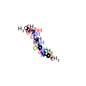 COc1ccc(-c2cnc(C(=O)Nc3ccc(C(=O)N[C@H]4[C@@H]5CN(C(=O)N[C@@H]6CN(C(=O)OC(C)(C)C)C[C@H]6O)C[C@@H]54)c(Cl)c3)n2C)c(F)c1F